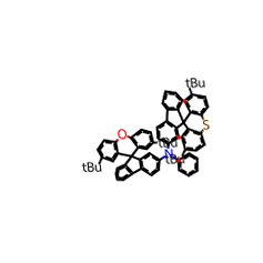 CC(C)(C)c1ccc2c(c1)C1(c3cc(C(C)(C)C)ccc3O2)c2ccccc2-c2ccc(N(c3ccccc3)c3ccc4c(c3)C3(c5cc(C(C)(C)C)ccc5Sc5ccc(C(C)(C)C)cc53)c3ccccc3-4)cc21